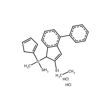 CC.CCC1=Cc2c(-c3ccccc3)cccc2[CH]1[Zr]([CH3])([SiH3])[C]1=CC=CC1.Cl.Cl